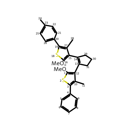 COc1sc(-c2ccccc2)c(C)c1C1=C(c2c(OC)sc(-c3ccc(C)cc3)c2C)CCC1